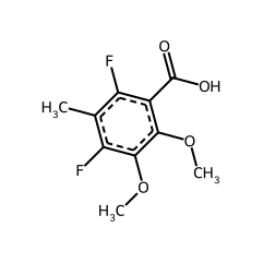 COc1c(F)c(C)c(F)c(C(=O)O)c1OC